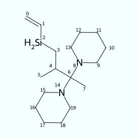 C=C[SiH2]CC(C)C(C)(N1CCCCC1)N1CCCCC1